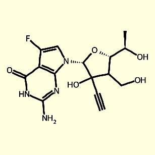 C#CC1(O)C(CO)[C@@H]([C@@H](C)O)O[C@H]1n1cc(F)c2c(=O)[nH]c(N)nc21